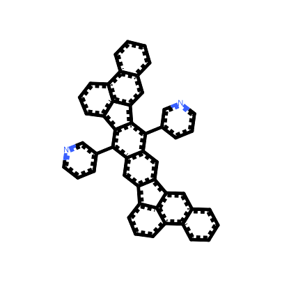 c1cncc(-c2c3cc4c(cc3c(-c3cccnc3)c3c5cc6ccccc6c6cccc(c23)c65)c2cc3ccccc3c3cccc4c32)c1